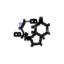 O=C(O)/C=C\C(=O)O.c1cc2cc[nH]c2cn1